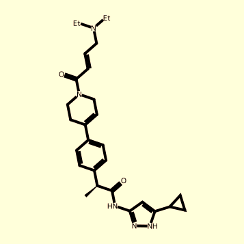 CCN(CC)C/C=C/C(=O)N1CC=C(c2ccc([C@H](C)C(=O)Nc3cc(C4CC4)[nH]n3)cc2)CC1